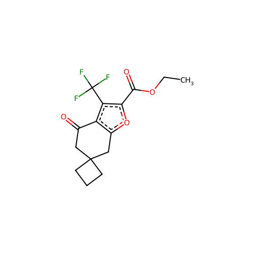 CCOC(=O)c1oc2c(c1C(F)(F)F)C(=O)CC1(CCC1)C2